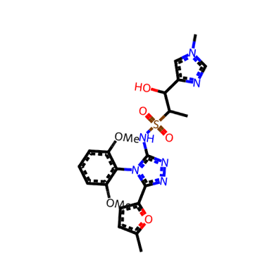 COc1cccc(OC)c1-n1c(NS(=O)(=O)C(C)C(O)c2cn(C)cn2)nnc1-c1ccc(C)o1